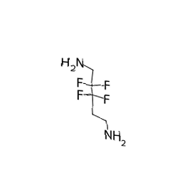 NCCC(F)(F)C(F)(F)CN